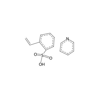 C=Cc1ccccc1S(=O)(=O)O.c1ccncc1